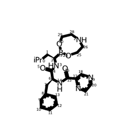 CC(C)C[C@H](NC(=O)[C@H](Cc1ccccc1)NC(=O)c1cnccn1)B1OCCNCCO1